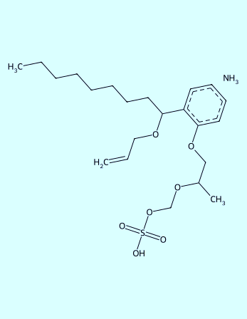 C=CCOC(CCCCCCCC)c1ccccc1OCC(C)OCOS(=O)(=O)O.N